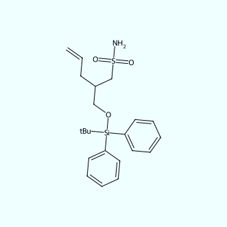 C=CCC(CO[Si](c1ccccc1)(c1ccccc1)C(C)(C)C)CS(N)(=O)=O